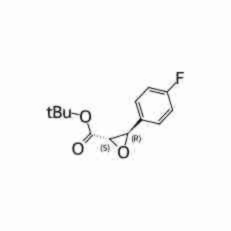 CC(C)(C)OC(=O)[C@H]1O[C@@H]1c1ccc(F)cc1